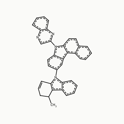 CC1CC=Cc2c1c1ccccc1n2-c1ccc2c(c1)c1c3ccccc3ccc1n2-c1cnc2ccccc2n1